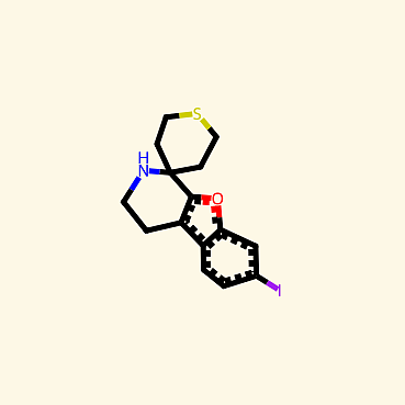 Ic1ccc2c3c(oc2c1)C1(CCSCC1)NCC3